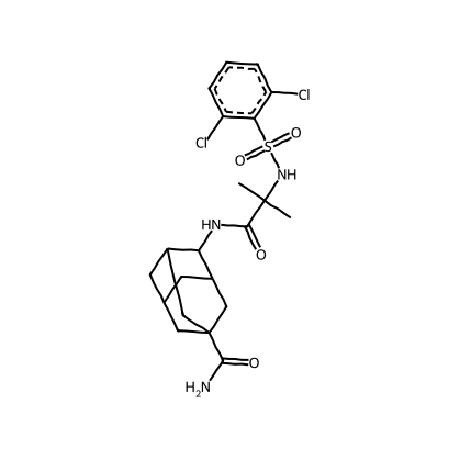 CC(C)(NS(=O)(=O)c1c(Cl)cccc1Cl)C(=O)NC1C2CC3CC1CC(C(N)=O)(C3)C2